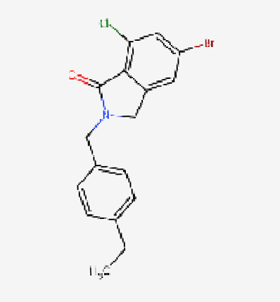 CCc1ccc(CN2Cc3cc(Br)cc(Cl)c3C2=O)cc1